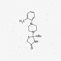 CCCCC1(N2CCN(c3ccccc3C)CC2)NC(=O)CS1